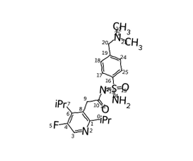 CC(C)c1ncc(F)c(C(C)C)c1CC(=O)N=S(N)(=O)c1ccc(CN(C)C)cc1